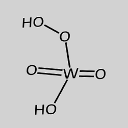 [O]=[W](=[O])([OH])[O]O